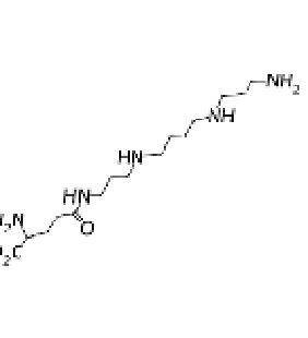 NCCCNCCCCNCCCNC(=O)CCC(N)C(=O)O